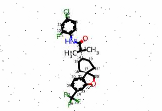 CC(C)(C(=O)Nc1ccc(Cl)cc1F)[C@H]1CC[C@@]2(CC1)COc1cc(C(F)(F)F)ccc12